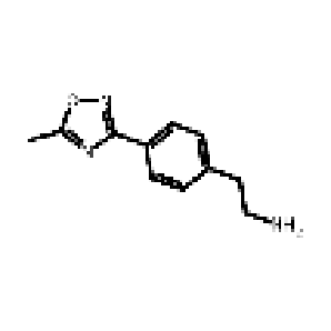 Cc1nc(-c2ccc(CCN)cc2)no1